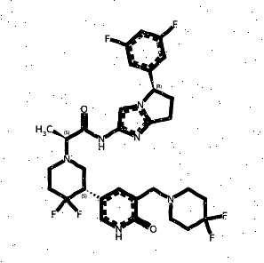 C[C@@H](C(=O)Nc1cn2c(n1)CC[C@@H]2c1cc(F)cc(F)c1)N1CCC(F)(F)[C@@H](c2c[nH]c(=O)c(CN3CCC(F)(F)CC3)c2)C1